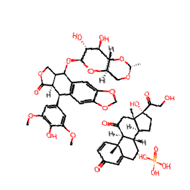 COc1cc([C@@H]2c3cc4c(cc3C(O[C@@H]3O[C@@H]5CO[C@@H](C)O[C@H]5[C@H](O)[C@H]3O)C3COC(=O)[C@@H]32)OCO4)cc(OC)c1O.C[C@]12C=CC(=O)C=C1CC[C@@H]1[C@@H]2C(=O)C[C@@]2(C)[C@H]1CC[C@]2(O)C(=O)CO.O=P(O)(O)O